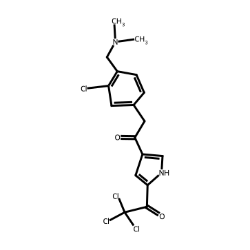 CN(C)Cc1ccc(CC(=O)c2c[nH]c(C(=O)C(Cl)(Cl)Cl)c2)cc1Cl